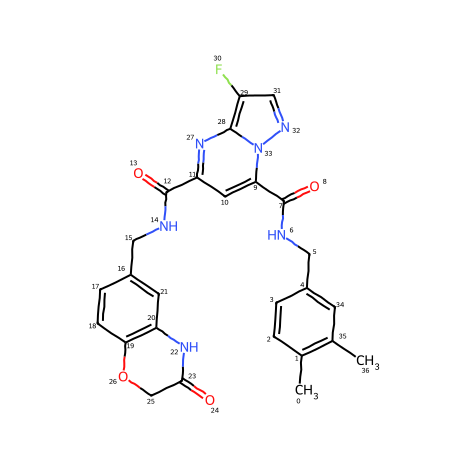 Cc1ccc(CNC(=O)c2cc(C(=O)NCc3ccc4c(c3)NC(=O)CO4)nc3c(F)cnn23)cc1C